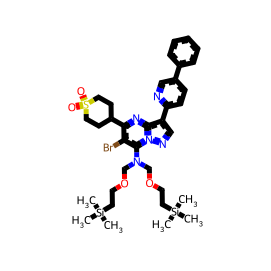 C[Si](C)(C)CCOCN(COCC[Si](C)(C)C)c1c(Br)c(C2CCS(=O)(=O)CC2)nc2c(-c3ccc(-c4ccccc4)cn3)cnn12